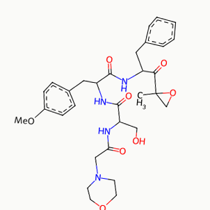 COc1ccc(CC(NC(=O)C(CO)NC(=O)CN2CCOCC2)C(=O)NC(Cc2ccccc2)C(=O)C2(C)CO2)cc1